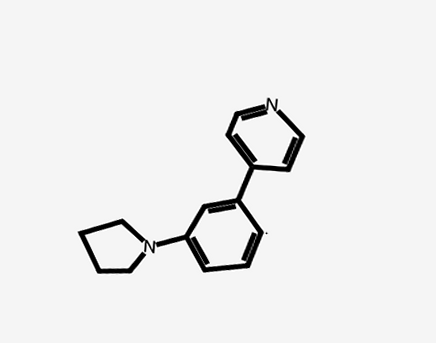 [c]1ccc(N2CCCC2)cc1-c1ccncc1